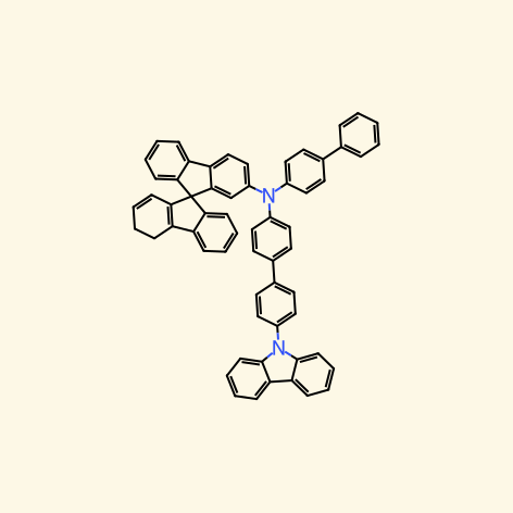 C1=CC2=C(CC1)c1ccccc1C21c2ccccc2-c2ccc(N(c3ccc(-c4ccccc4)cc3)c3ccc(-c4ccc(-n5c6ccccc6c6ccccc65)cc4)cc3)cc21